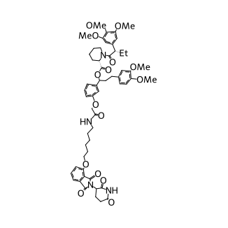 CC[C@H](C(=O)N1CCCC[C@H]1C(=O)OC(CCc1ccc(OC)c(OC)c1)c1cccc(OCC(=O)NCCCCCCOc2cccc3c2C(=O)N(C2CCC(=O)NC2=O)C3=O)c1)c1cc(OC)c(OC)c(OC)c1